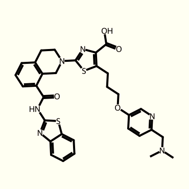 CN(C)Cc1ccc(OCCCc2sc(N3CCc4cccc(C(=O)Nc5nc6ccccc6s5)c4C3)nc2C(=O)O)cn1